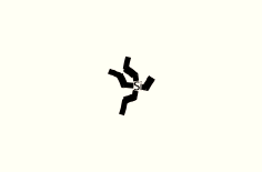 C=C[Si](C=CC)(C=CC)C=CC